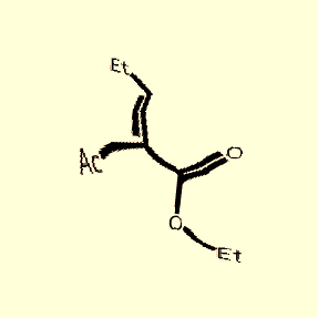 CC/C=C(\C(C)=O)C(=O)OCC